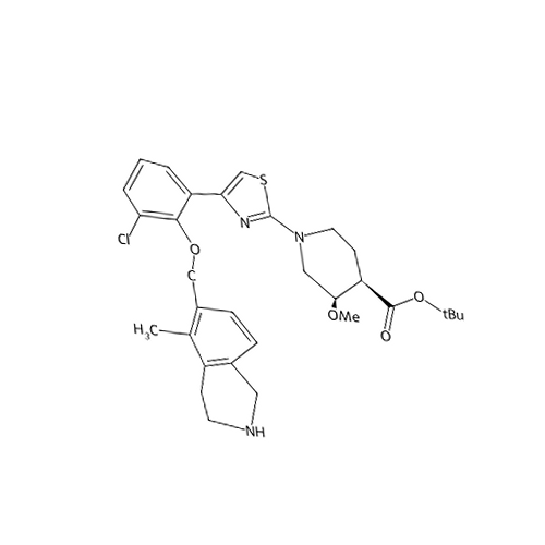 CO[C@H]1CN(c2nc(-c3cccc(Cl)c3OCc3ccc4c(c3C)CCNC4)cs2)CC[C@H]1C(=O)OC(C)(C)C